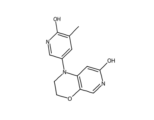 Cc1cc(N2CCOc3cnc(O)cc32)cnc1O